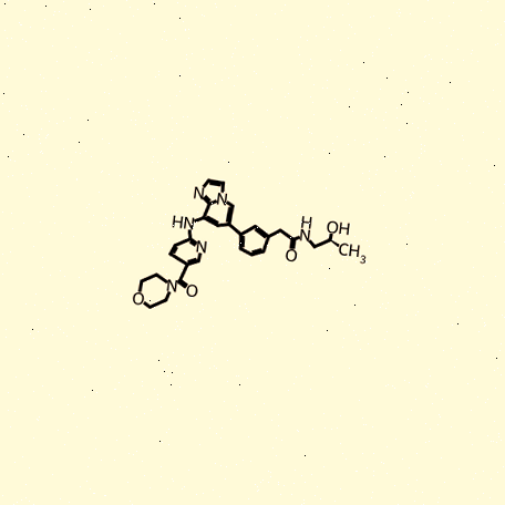 C[C@H](O)CNC(=O)Cc1cccc(-c2cc(Nc3ccc(C(=O)N4CCOCC4)cn3)c3nccn3c2)c1